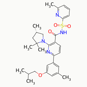 Cc1cc(OCC(C)C)cc(-c2ccc(C(=O)NS(=O)(=O)c3cccc(C)n3)c(N3C[C@@H](C)CC3(C)C)n2)c1